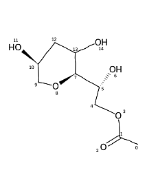 CC(=O)OC[C@@H](O)[C@H]1OC[C@@H](O)CC1O